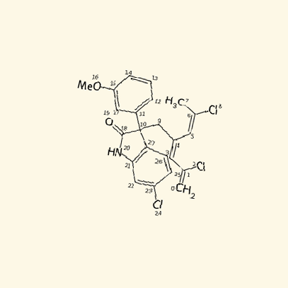 C=C(Cl)/C=C(\C=C(/C)Cl)CC1(c2cccc(OC)c2)C(=O)Nc2cc(Cl)ccc21